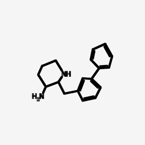 NC1CCCNC1Cc1cccc(-c2ccccc2)c1